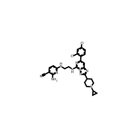 N#Cc1ccc(NCCNc2nc(-c3ccc(Cl)cc3Cl)cc3nc(C4CCN(C5CC5)CC4)nn23)nc1N